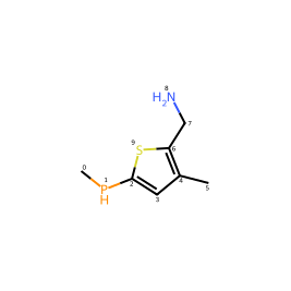 CPc1cc(C)c(CN)s1